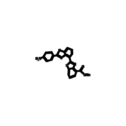 COC(=O)c1cccc2oc(-c3cccc4oc(-c5ccc([N+](=O)[O-])cc5)nc34)nc12